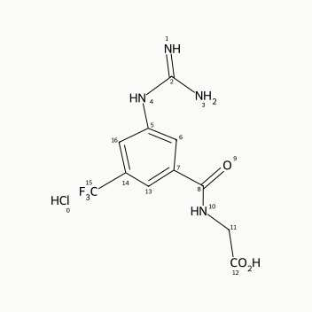 Cl.N=C(N)Nc1cc(C(=O)NCC(=O)O)cc(C(F)(F)F)c1